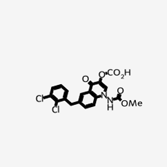 COC(=O)Nn1cc(OC(=O)O)c(=O)c2cc(Cc3cccc(Cl)c3Cl)ccc21